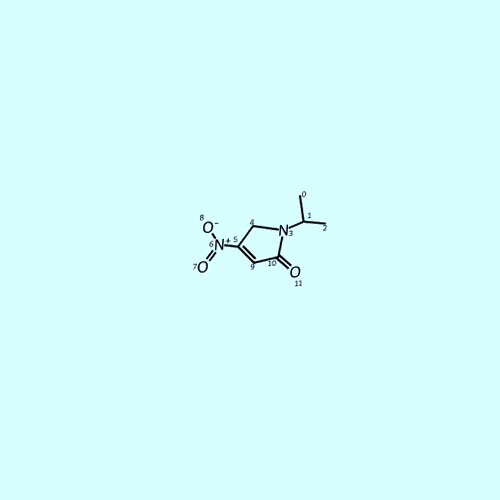 CC(C)N1CC([N+](=O)[O-])=CC1=O